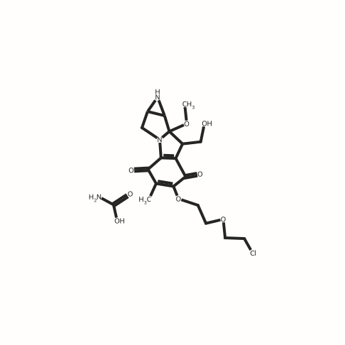 COC12C(CO)C3=C(C(=O)C(C)=C(OCCOCCCl)C3=O)N1CC1NC12.NC(=O)O